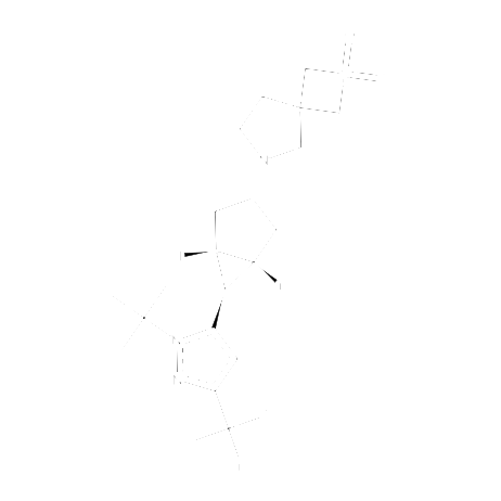 CC(C)(C)n1nc(C(F)(F)F)cc1[C@H]1[C@@H]2C[C@H](N3CCC4(C3)CS(=O)(=O)C4)C[C@@H]21